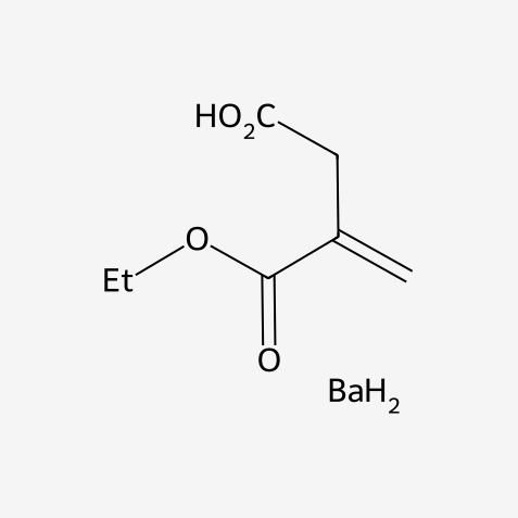 C=C(CC(=O)O)C(=O)OCC.[BaH2]